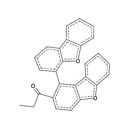 CCC(=O)c1ccc2oc3ccccc3c2c1-c1cccc2c1oc1ccccc12